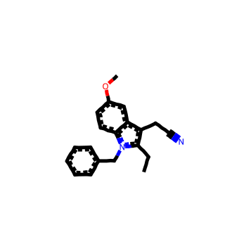 CCc1c(CC#N)c2cc(OC)ccc2n1Cc1ccccc1